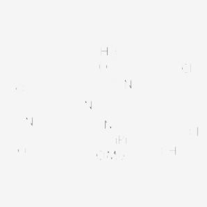 COc1ccc(C(=O)N2CCOCC2)cc1-c1nc2c(n1C(C)C)C(C1=CC(C)C(Cl)C=C1)N(c1cc(Cl)ccc1C)C2=O